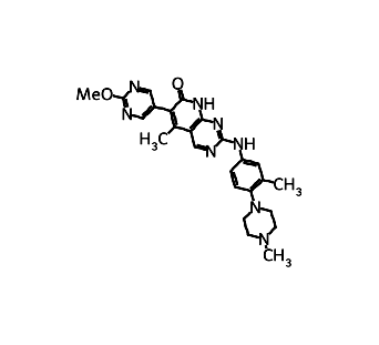 COc1ncc(-c2c(C)c3cnc(Nc4ccc(N5CCN(C)CC5)c(C)c4)nc3[nH]c2=O)cn1